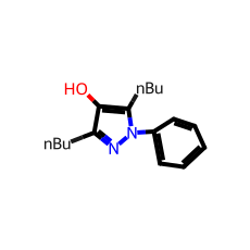 CCCCc1nn(-c2ccccc2)c(CCCC)c1O